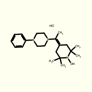 CC(=C1CC(C)(C)N(O)C(C)(C)C1)N1CCN(c2ccccc2)CC1.Cl